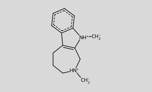 [CH2-][NH+]1CCCC2=C(C1)[NH+]([CH2-])c1ccccc12